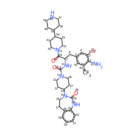 Nc1c(Br)cc(CC(NC(=O)N2CCC(N3CCc4ccccc4NC3=O)CC2)C(=O)N2CCC(C3CCNCC3)CC2)cc1C(F)(F)F